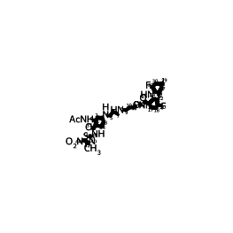 CC(=O)Nc1cc(NCCCNCCCONC(=O)c2ccc(F)c(F)c2Nc2ccc(I)cc2F)ccc1C(=O)Nc1nc(C)c([N+](=O)[O-])s1